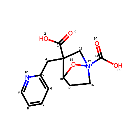 O=C(O)C1(Cc2ccccn2)C[N+]2(C(=O)O)CCC1O2